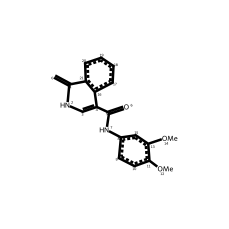 C=C1NC=C(C(=O)Nc2ccc(OC)c(OC)c2)c2ccccc21